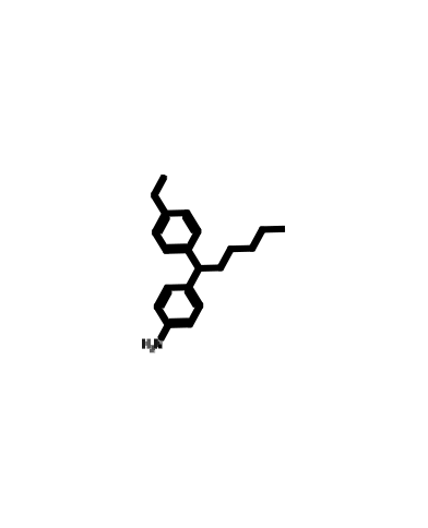 CCCCCC(c1ccc(N)cc1)c1ccc(CC)cc1